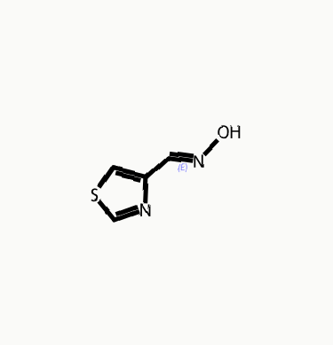 O/N=C/c1cscn1